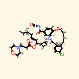 CC[C@@H](C)C/C=C/[C@H](OC(=O)CCN1CCOCC1)[C@@H]1CC[C@H]1CN1Cc2ccc(Cl)cc2CCCCOc2ccc(C(=O)N=C=O)cc21